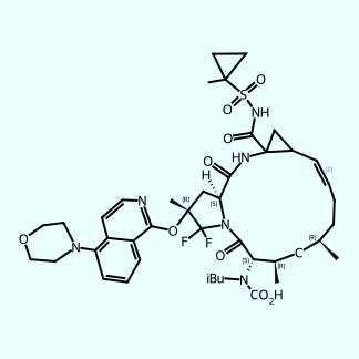 CCC(C)N(C(=O)O)[C@@H]1C(=O)N2[C@@H](C[C@@](C)(Oc3nccc4c(N5CCOCC5)cccc34)C2(F)F)C(=O)NC2(C(=O)NS(=O)(=O)C3(C)CC3)CC2/C=C\CC[C@@H](C)C[C@H]1C